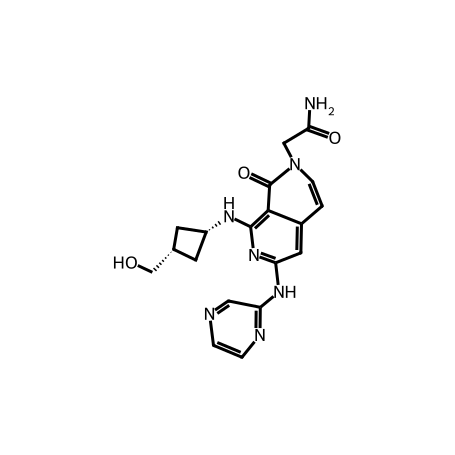 NC(=O)Cn1ccc2cc(Nc3cnccn3)nc(N[C@H]3C[C@@H](CO)C3)c2c1=O